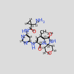 Cc1cc(Nc2cc(NC(=O)C3(CN)CC3)ncn2)c(=O)n2c1C(=O)NC21CCOCC1